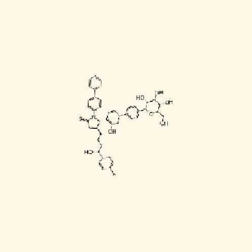 OC[C@H]1O[C@@H](c2ccc(-c3ccc([C@@H]4[C@@H](CCC[C@@H](O)c5ccc(F)cc5)SC(=S)N4c4ccc(-c5ccccc5)cc4)c(O)c3)cc2)[C@H](O)[C@@H](O)[C@@H]1O